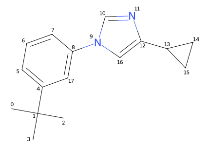 CC(C)(C)c1cccc(-n2cnc(C3CC3)c2)c1